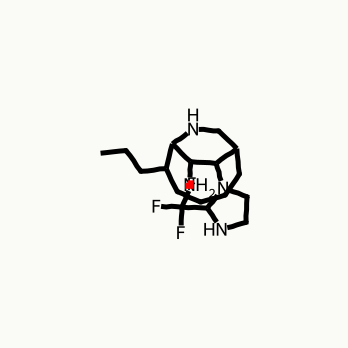 CCCC1CCCCC2CNC1C(N)C2N1CCNC1C(F)(F)F